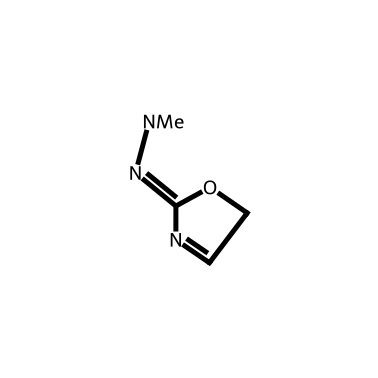 CNN=C1N=CCO1